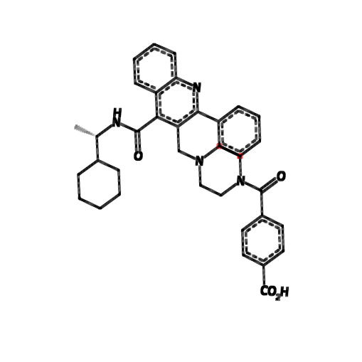 C[C@H](NC(=O)c1c(CN2CCN(C(=O)c3ccc(C(=O)O)cc3)CC2)c(-c2ccccc2)nc2ccccc12)C1CCCCC1